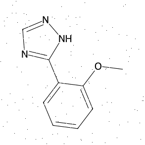 COc1ccccc1-c1ncn[nH]1